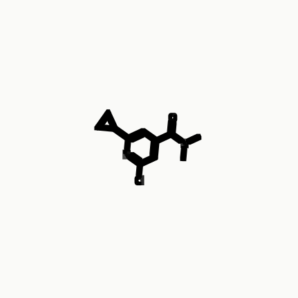 CN(C)C(=O)c1cc(Cl)nc(C2CC2)c1